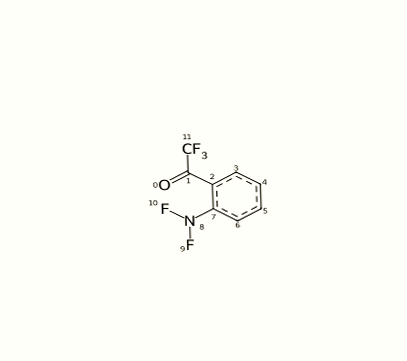 O=C(c1ccccc1N(F)F)C(F)(F)F